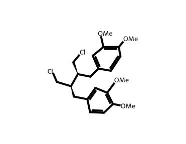 COc1ccc(C[C@@H](CCl)[C@@H](CCl)Cc2ccc(OC)c(OC)c2)cc1OC